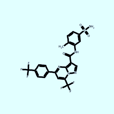 Cc1ccc(S(N)(=O)=O)cc1NC(=O)c1cnn2c(C(F)(F)F)cc(-c3ccc(C(F)(F)F)cc3)nc12